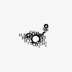 CC[C@H]1OC(=O)[C@H](C)C(=O)[C@H](C)[C@@H](O[C@@H]2O[C@H](C)CC(N)C2O)[C@](C)(OC)C[C@@H](C)C(=O)[C@H](C)[C@H]2N(NCCCn3nc4ccccc4n3)C(=O)O[C@]12C